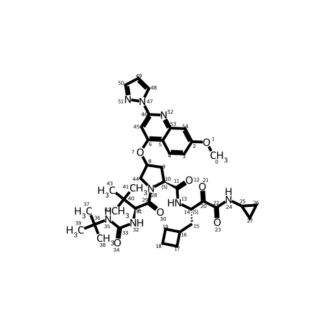 COc1ccc2c(OC3C[C@@H](C(=O)N[C@@H](CC4CCC4)C(=O)C(=O)NC4CC4)N(C(=O)[C@@H](NC(=O)NC(C)(C)C)C(C)(C)C)C3)cc(-n3cccn3)nc2c1